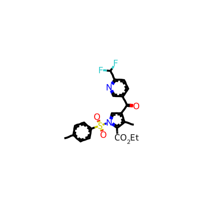 CCOC(=O)c1c(C)c(C(=O)c2ccc(C(F)F)nc2)cn1S(=O)(=O)c1ccc(C)cc1